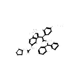 COc1cc(C(=O)O)ccc1C(C(=O)NC(c1ccccc1)c1ccccc1)c1c[nH]c2ccc(NC(=O)OC3CCCC3)cc12